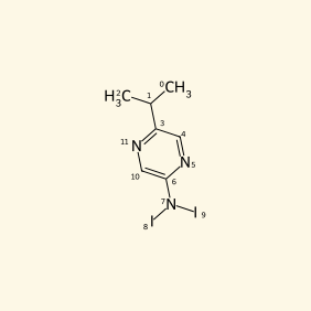 CC(C)c1cnc(N(I)I)cn1